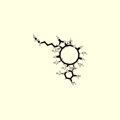 CC[C@H]1OC(=O)[C@H](C)C(=O)[C@H](C)[C@@H](O[C@@H]2O[C@H](C)CC(N)C2O)[C@](C)(OC)C[C@@H](C)C(=O)[C@H](C)[C@H]2N(CCCCN=[N+]=[N-])C(=O)O[C@]12C